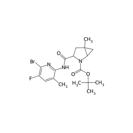 Cc1cc(F)c(Br)nc1NC(=O)C1CC2(C)CC2N1C(=O)OC(C)(C)C